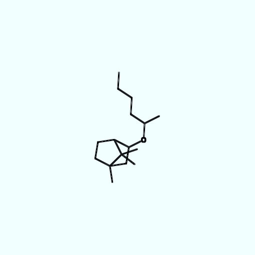 CCCCC(C)OC1CC2(C)CCC1C2(C)C